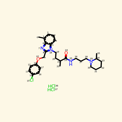 Cc1cccc2c1nc(COc1ccc(Cl)cc1)n2CCC(C)C(=O)NCCCN1CCCCC1C.Cl.Cl